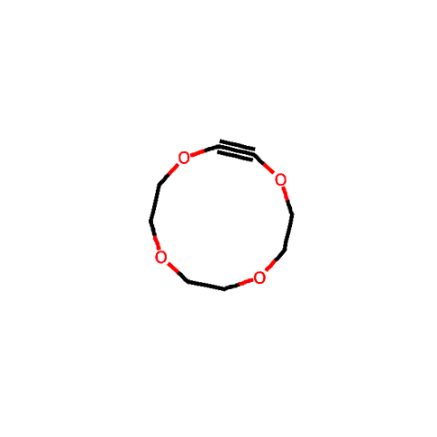 C1#COCCOCCOCCO1